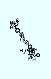 COc1cc(N2CCN(C(=O)CN3CCC(c4ccc(NC5CCC(=O)NC5=O)cc4)CC3)CC2)ccc1Nc1ncc(C(F)(F)F)c(Nc2ccccc2)n1